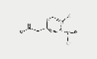 O=[N+]([O-])c1cc(CNCl)ccc1Cl